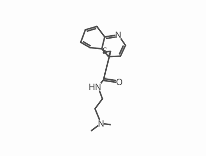 CN(C)CCNC(=O)C1=C2C=CN=C3C=CC=CC32SC1